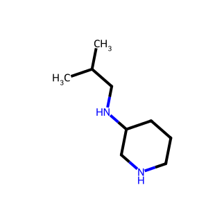 CC(C)CNC1CCCNC1